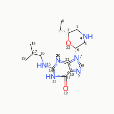 CC[C@@H]1CNC[C@H](n2cnc3c(=O)[nH]c(NCC(C)C)nc32)O1